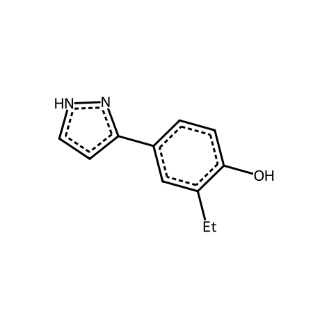 CCc1cc(-c2cc[nH]n2)ccc1O